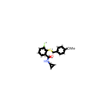 COc1ccc(CSc2c(F)cccc2C(=O)NC2CC2)cc1